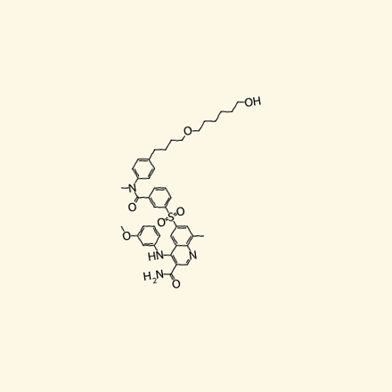 COc1cccc(Nc2c(C(N)=O)cnc3c(C)cc(S(=O)(=O)c4cccc(C(=O)N(C)c5ccc(CCCCOCCCCCCO)cc5)c4)cc23)c1